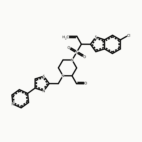 C=CC(c1cc2ccc(Cl)cc2s1)S(=O)(=O)N1CCN(Cc2nc(-c3ccncc3)cs2)C(C=O)C1